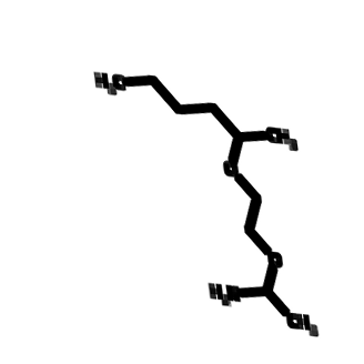 CCCCC(C)OCCOC(C)N